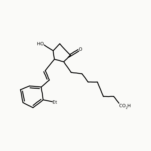 CCc1ccccc1/C=C/C1C(O)CC(=O)C1CCCCCCC(=O)O